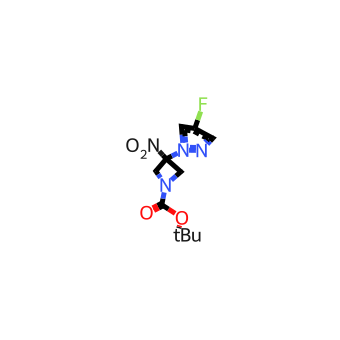 CC(C)(C)OC(=O)N1CC(n2cc(F)cn2)([N+](=O)[O-])C1